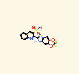 CCS(=O)(=O)c1cc2ccccc2nc1-c1nc2cc3c(cc2[nH]1)OC(F)(F)O3